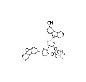 CC1(C)Oc2cc(-n3c4ccccc4c4cc(C#N)ccc43)ccc2-c2cc(-c3ccc4oc5ccccc5c4c3)ccc2O1